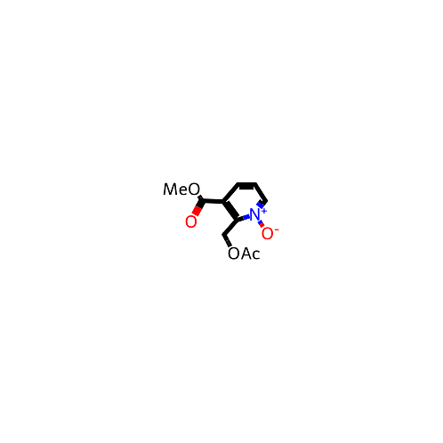 COC(=O)c1ccc[n+]([O-])c1COC(C)=O